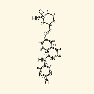 N=S1(=O)CCCC(COc2ccc3c(Nc4cnc(Cl)nc4)nccc3c2)C1